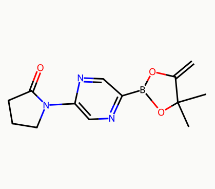 C=C1OB(c2cnc(N3CCCC3=O)cn2)OC1(C)C